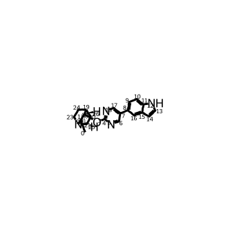 C[C@@H]1[C@@H](Oc2ncc(-c3ccc4[nH]ccc4c3)cn2)C2CCN1CC2